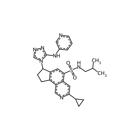 CC(C)CNS(=O)(=O)c1cc2c(c3cnc(C4CC4)cc13)CCC2n1cnnc1Nc1cccnc1